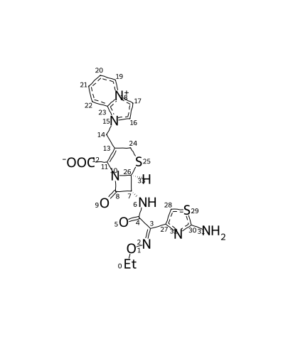 CCO/N=C(\C(=O)N[C@@H]1C(=O)N2C(C(=O)[O-])=C(Cn3cc[n+]4ccccc34)CS[C@@H]12)c1csc(N)n1